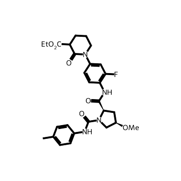 CCOC(=O)C1CCCN(c2ccc(NC(=O)[C@H]3C[C@@H](OC)CN3C(=O)Nc3ccc(C)cc3)c(F)c2)C1=O